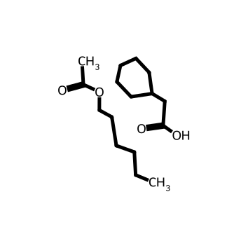 CCCCCCOC(C)=O.O=C(O)CC1CCCCC1